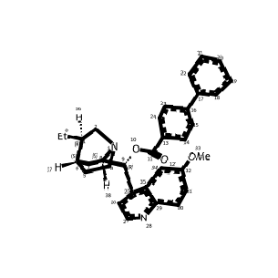 CC[C@H]1CN2CC[C@H]1C[C@H]2[C@H](OC(=O)c1ccc(-c2ccccc2)cc1)c1ccnc2ccc(OC)cc12